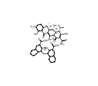 C[C@H]1c2cccc(O)c2C(=O)C2=C(O)[C@]3(O)C(=O)C(C(N)=O)=C(O)[C@@H](N(C)C)[C@@H]3[C@@H](O)[C@@H]21.O.O=C(O)c1cc2ccccc2c(Cc2c(O)c(C(=O)O)cc3ccccc23)c1O